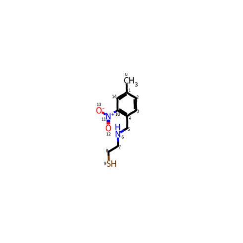 Cc1ccc(CNCCS)c([N+](=O)[O-])c1